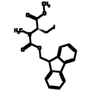 COC(=O)[C@H](CI)N(C)C(=O)OCC1c2ccccc2-c2ccccc21